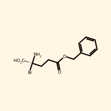 N[C@](Br)(CCC(=O)OCc1ccccc1)C(=O)O